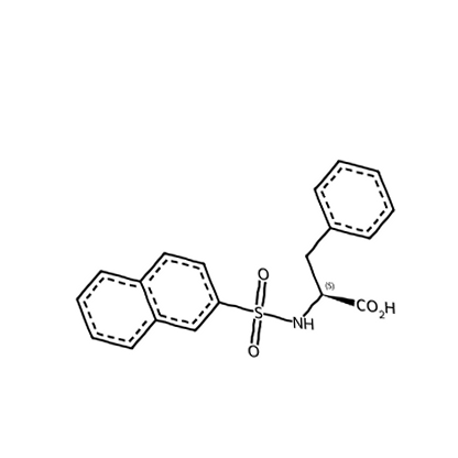 O=C(O)[C@H](Cc1ccccc1)NS(=O)(=O)c1ccc2ccccc2c1